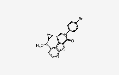 CN(c1ncnc2sc3c(=O)n(-c4ccc(Br)cc4)cnc3c12)C1CC1